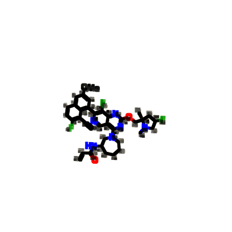 C#Cc1c(F)ccc2cc(OC)cc(-c3ncc4c(N5CCCCC(NC(=O)C=C)C5)nc(OC[C@]5(C)C[C@@H](F)CN5C)nc4c3F)c12